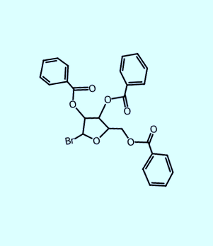 O=C(OCC1OC(Br)C(OC(=O)c2ccccc2)C1OC(=O)c1ccccc1)c1ccccc1